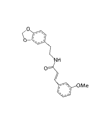 COc1cccc(C=CC(=O)NCCc2ccc3c(c2)OCO3)c1